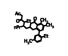 CCCC(CC1CC(=O)c2c(C)c(C)cc(-c3cc(C)ccc3CC)c2C1)C(CC)C(=O)CC(C)=O